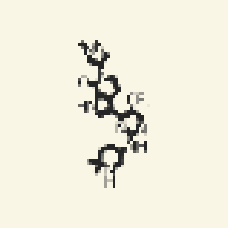 Cn1cc(-n2ccc3c(-c4nc(NC5CCC(C)(C)NC5)ncc4C(F)(F)F)c[nH]c3c2=O)cn1